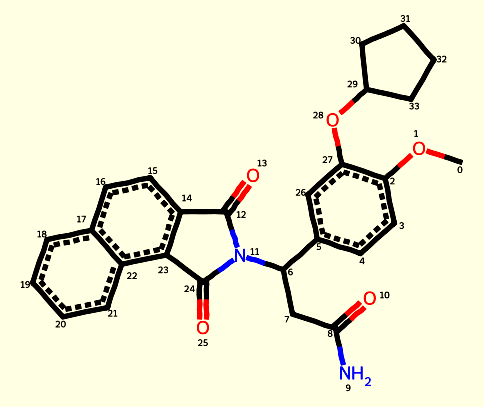 COc1ccc(C(CC(N)=O)N2C(=O)c3ccc4ccccc4c3C2=O)cc1OC1CCCC1